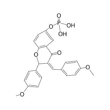 COc1ccc(C=C2C(=O)c3cc(OP(=O)(O)O)ccc3OC2c2ccc(OC)cc2)cc1